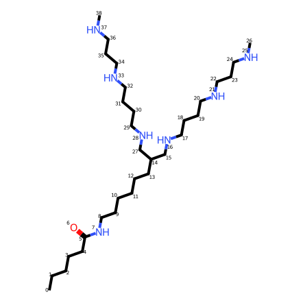 CCCCCC(=O)NCCCCCCC(CNCCCCNCCCNC)CNCCCCNCCCNC